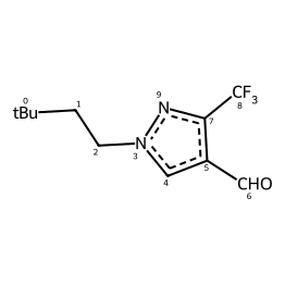 CC(C)(C)CCn1cc(C=O)c(C(F)(F)F)n1